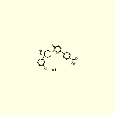 Cl.NC[C@]1(c2cccc(Cl)c2)CC[C@@H](n2nc(-c3ccc(C(=O)O)cc3)ccc2=O)CC1